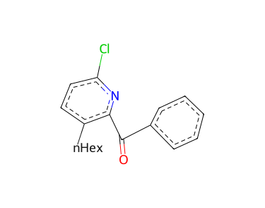 CCCCCCc1ccc(Cl)nc1C(=O)c1ccccc1